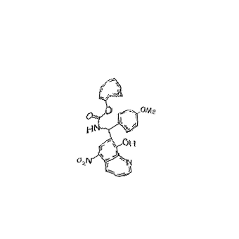 COc1ccc(C(NC(=O)Oc2ccccc2)c2cc([N+](=O)[O-])c3cccnc3c2O)cc1